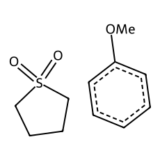 COc1ccccc1.O=S1(=O)CCCC1